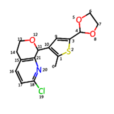 Cc1sc(C2OCCO2)cc1C1OCCc2ccc(Cl)nc21